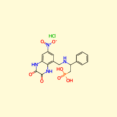 Cl.O=c1[nH]c2cc([N+](=O)[O-])cc(CNC(CP(=O)(O)O)c3ccccc3)c2[nH]c1=O